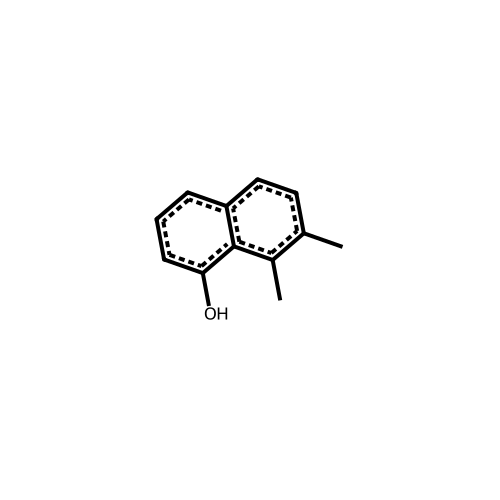 Cc1ccc2cccc(O)c2c1C